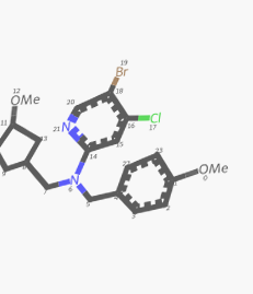 COc1ccc(CN(CC2CCC(OC)C2)c2cc(Cl)c(Br)cn2)cc1